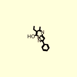 CCc1c(C)nc2cc(-c3ccccc3)nn2c1O